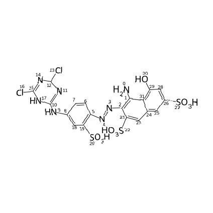 Nc1c(N=Nc2ccc(NC3=NC(Cl)N=C(Cl)N3)cc2S(=O)(=O)O)c(S(=O)(=O)O)cc2cc(S(=O)(=O)O)cc(O)c12